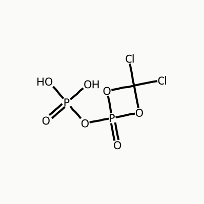 O=P(O)(O)OP1(=O)OC(Cl)(Cl)O1